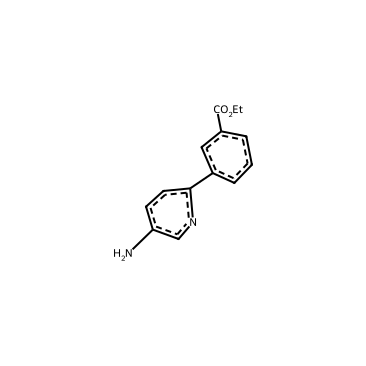 CCOC(=O)c1cccc(-c2ccc(N)cn2)c1